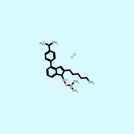 CCCCCCC1=Cc2c(-c3ccc(C(C)C)cc3)cccc2[CH]1[Zr+2][O][SiH](C)C.[Cl-].[Cl-]